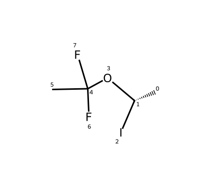 C[C@H](I)OC(C)(F)F